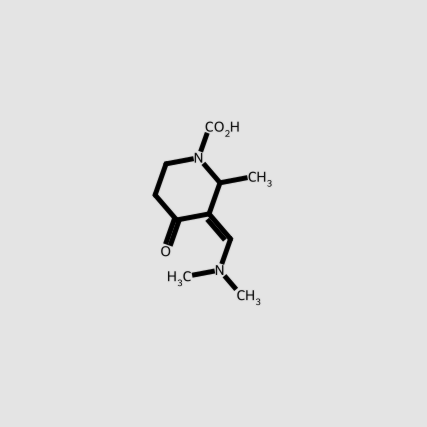 CC1/C(=C/N(C)C)C(=O)CCN1C(=O)O